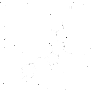 CCCNC(=O)c1nc(N)c2cnn(Cc3ccc(C)cc3)c2n1